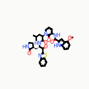 COc1cccc2[nH]c(C(=O)Nc3cccn(C(CC(C)C)C(=O)N[C@@H](C[C@@H]4CCNC4=O)C(=O)c4nc5ccccc5s4)c3=O)cc12